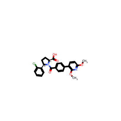 COc1ccc(-c2ccc(C(=O)N3[C@@H](c4ccccc4Cl)CC[C@H]3C(=O)O)cc2)c(OC)n1